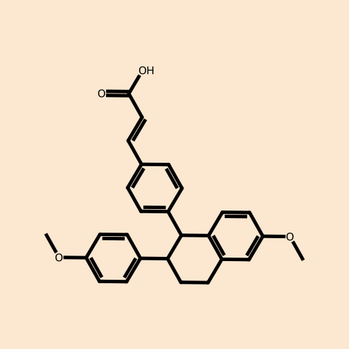 COc1ccc(C2CCc3cc(OC)ccc3C2c2ccc(C=CC(=O)O)cc2)cc1